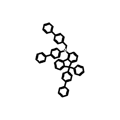 c1ccc(-c2ccc(CN(c3ccc(-c4ccccc4)cc3)c3cccc4c3-c3ccccc3C4(c3ccccc3)c3ccc(-c4ccccc4)cc3)cc2)cc1